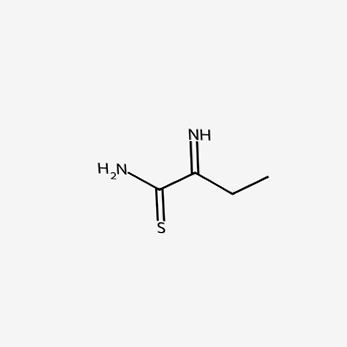 CCC(=N)C(N)=S